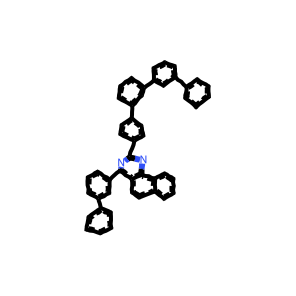 c1ccc(-c2cccc(-c3cccc(-c4ccc(-c5nc(-c6cccc(-c7ccccc7)c6)c6ccc7ccccc7c6n5)cc4)c3)c2)cc1